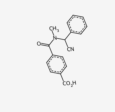 CN(C(=O)c1ccc(C(=O)O)cc1)C(C#N)c1ccccc1